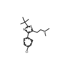 CN(C)CCc1sc(C(C)(C)C)nc1-c1ccc(Cl)cc1